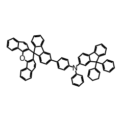 C1=CC(C2(c3ccccc3)c3ccccc3-c3ccc(N(c4ccccc4)c4ccc(-c5ccc6c(c5)-c5ccccc5C65c6ccc7ccccc7c6Oc6c5ccc5ccccc65)cc4)cc32)=CCC1